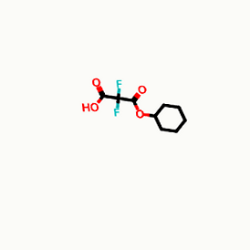 O=C(O)C(F)(F)C(=O)OC1CCCCC1